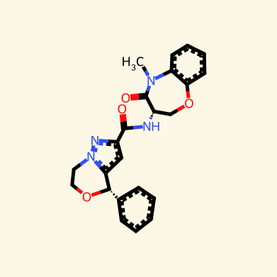 CN1C(=O)[C@@H](NC(=O)c2cc3n(n2)CCO[C@H]3c2ccccc2)COc2ccccc21